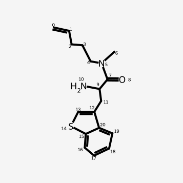 C=CCCCN(C)C(=O)C(N)Cc1csc2ccccc12